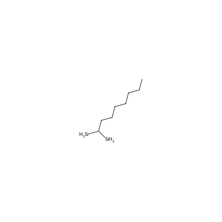 CCCCCCCC([SiH3])[SiH3]